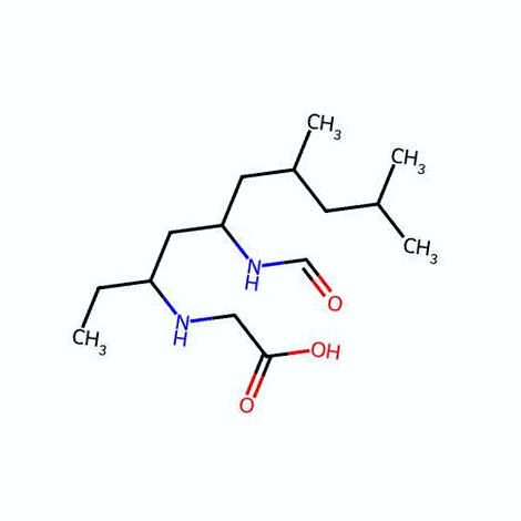 CCC(CC(CC(C)CC(C)C)NC=O)NCC(=O)O